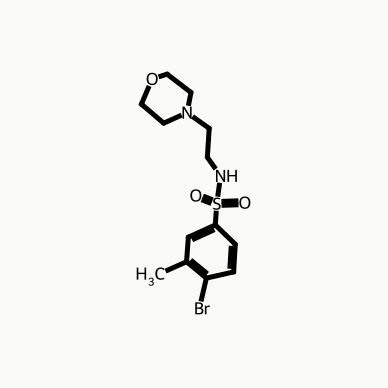 Cc1cc(S(=O)(=O)NCCN2CCOCC2)ccc1Br